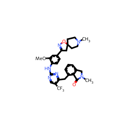 COc1cc(C2=NOC3(CCN(C)CC3)C2)ccc1Nc1ncc(C(F)(F)F)c(Cc2cccc3c2C(=O)N(C)C3)n1